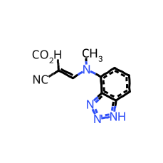 CN(C=C(C#N)C(=O)O)c1cccc2[nH]nnc12